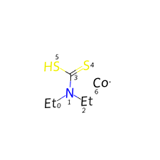 CCN(CC)C(=S)S.[Co]